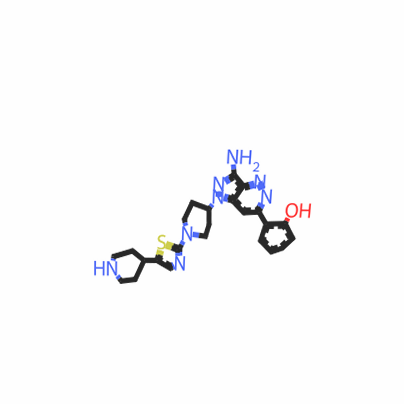 Nc1nn(C2CCN(c3ncc(C4CCNCC4)s3)CC2)c2cc(-c3ccccc3O)nnc12